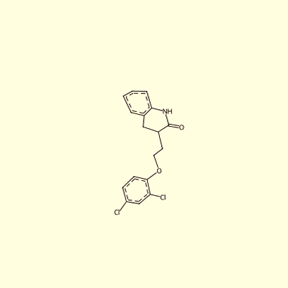 O=C1Nc2ccccc2CC1CCOc1ccc(Cl)cc1Cl